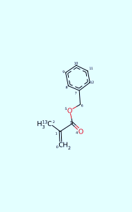 C=C([13CH3])C(=O)OCc1ccccc1